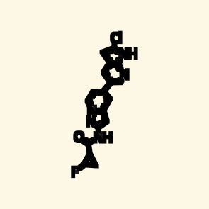 O=C(Nc1cc2cc(-c3cnc4[nH]c(Cl)cc4c3)ccn2n1)C1CC1F